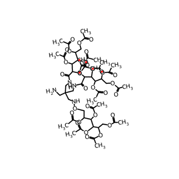 CC(=O)OCC(OC(C)=O)C(OC(C)=O)C(OC(C)=O)C(CONCC(CN)(CNC(=O)C(OC(C)=O)C(OC(C)=O)C(OC(C)=O)C(COC(C)=O)OC(C)=O)CNC(=O)C(OC(C)=O)C(OC(C)=O)C(OC(C)=O)C(COC(C)=O)OC(C)=O)OC(C)=O